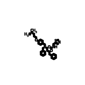 CN(C)CCCOc1ccc(CN(CCC(Cc2ccccc2)OC(=O)NCc2cncs2)Cc2ccccc2)cc1